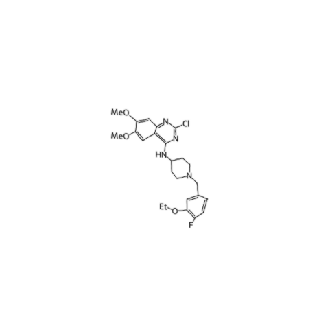 CCOc1cc(CN2CCC(Nc3nc(Cl)nc4cc(OC)c(OC)cc34)CC2)ccc1F